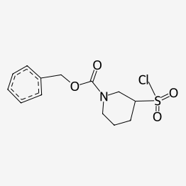 O=C(OCc1ccccc1)N1CCCC(S(=O)(=O)Cl)C1